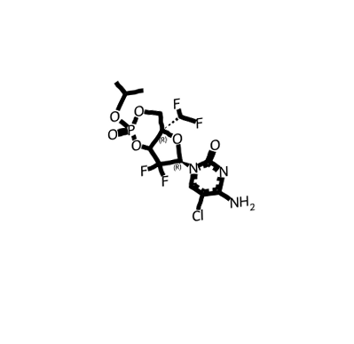 CC(C)OP1(=O)OC[C@@]2(C(F)F)O[C@@H](n3cc(Cl)c(N)nc3=O)C(F)(F)C2O1